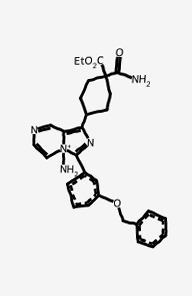 CCOC(=O)C1(C(N)=O)CCC(C2=C3C=NC=C[N+]3(N)C(c3cccc(OCc4ccccc4)c3)=N2)CC1